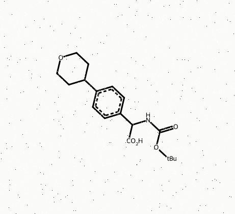 CC(C)(C)OC(=O)NC(C(=O)O)c1ccc(C2CCOCC2)cc1